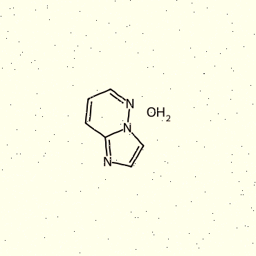 O.c1cnn2ccnc2c1